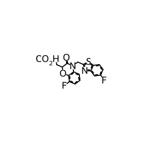 O=C(O)CC1Oc2c(F)cccc2N(Cc2nc3cc(F)ccc3s2)C1=O